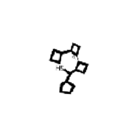 SC(C1CCCC1)C1CCC1[C@H]1CCC1C1CCC1